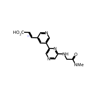 CNC(=O)CNc1cncc(-c2cncc(/C=C/C(=O)O)c2)n1